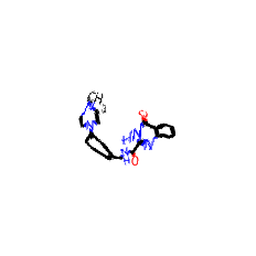 CN1CCN(c2cccc(CNC(=O)c3nc4ccccc4c(=O)[nH]3)c2)CC1